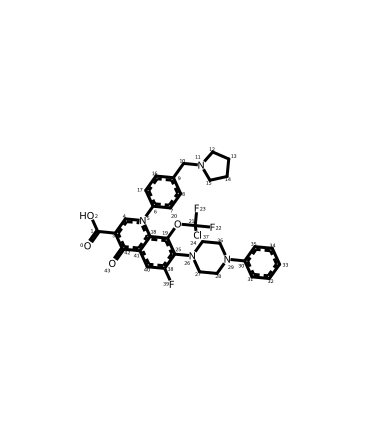 O=C(O)c1cn(-c2ccc(CN3CCCC3)cc2)c2c(OC(F)(F)Cl)c(N3CCN(c4ccccc4)CC3)c(F)cc2c1=O